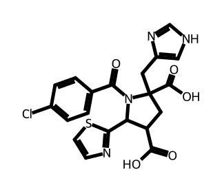 O=C(O)C1CC(Cc2c[nH]cn2)(C(=O)O)N(C(=O)c2ccc(Cl)cc2)C1c1nccs1